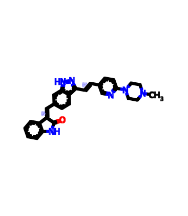 CN1CCN(c2ccc(/C=C/c3n[nH]c4cc(/C=C5\C(=O)Nc6ccccc65)ccc34)cn2)CC1